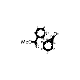 COC(=O)c1cccnc1.O=c1c2ccccc12